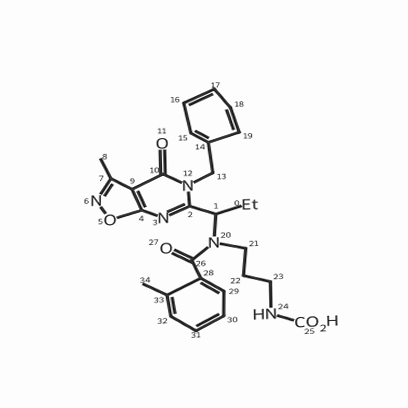 CCC(c1nc2onc(C)c2c(=O)n1Cc1ccccc1)N(CCCNC(=O)O)C(=O)c1ccccc1C